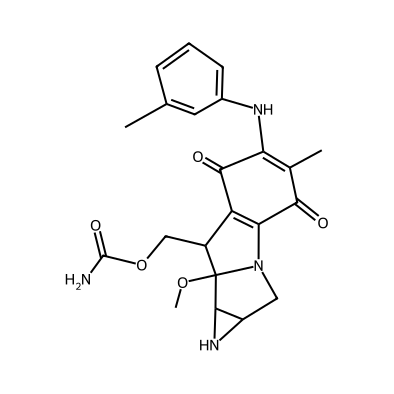 COC12C(COC(N)=O)C3=C(C(=O)C(C)=C(Nc4cccc(C)c4)C3=O)N1CC1NC12